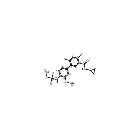 Cc1cc(F)c(C(=O)NC2CC2)cc1-c1cnc(NC(C)(C)CO)c(OC(C)C)c1